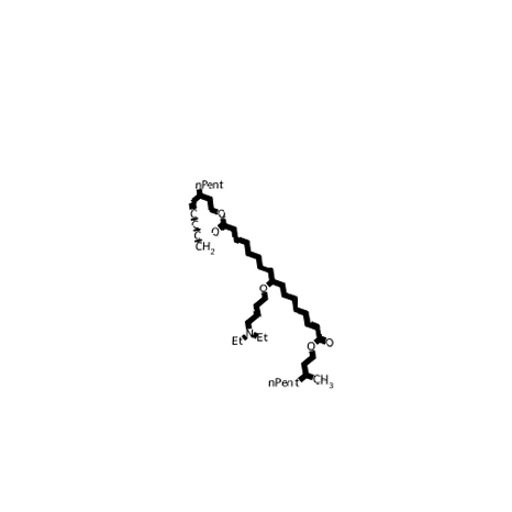 C=C=C=C=CC(CCCCC)CCOC(=O)CCCCCCCC(CCCCCCCC(=O)OCCC(C)CCCCC)OCCCCN(CC)CC